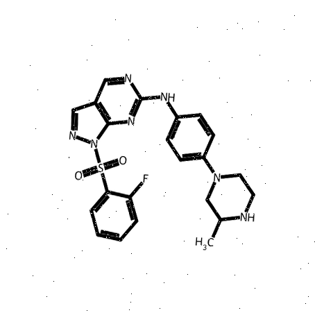 CC1CN(c2ccc(Nc3ncc4cnn(S(=O)(=O)c5ccccc5F)c4n3)cc2)CCN1